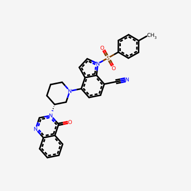 Cc1ccc(S(=O)(=O)n2ccc3c(N4CCC[C@@H](n5cnc6ccccc6c5=O)C4)ccc(C#N)c32)cc1